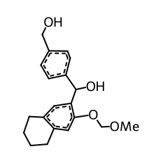 COCOc1cc2c(cc1C(O)c1ccc(CO)cc1)CCCC2